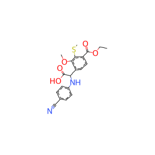 CCOC(=O)c1ccc(C(Nc2ccc(C#N)cc2)C(=O)O)c(OC)c1SC